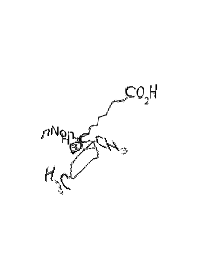 CCCCCCCCCC(CCCCCCCC(=O)O)OC12CC(C)CCC1C2(C)C